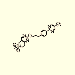 CCc1cnc(-c2ccc(CCCOc3ncc4c(n3)CCN(S(C)(=O)=O)C4)cc2)nc1